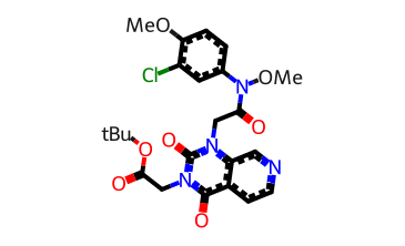 COc1ccc(N(OC)C(=O)Cn2c(=O)n(CC(=O)OC(C)(C)C)c(=O)c3ccncc32)cc1Cl